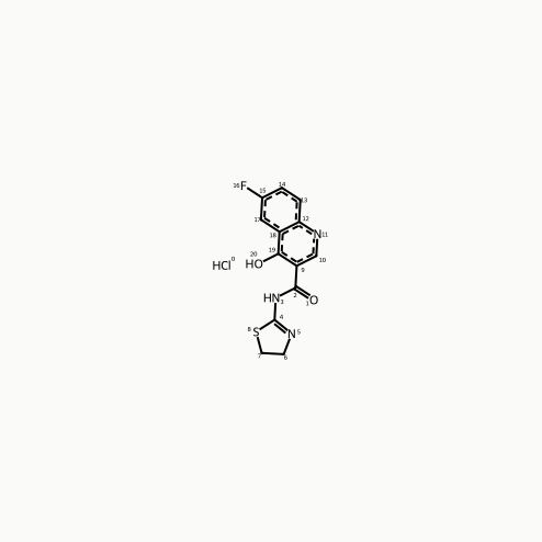 Cl.O=C(NC1=NCCS1)c1cnc2ccc(F)cc2c1O